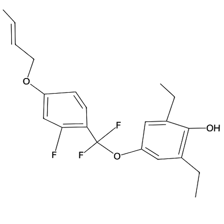 C/C=C/COc1ccc(C(F)(F)Oc2cc(CC)c(O)c(CC)c2)c(F)c1